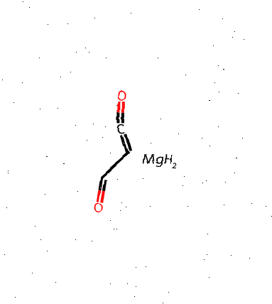 O=C=CC=O.[MgH2]